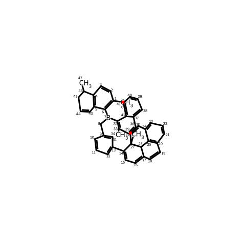 Cc1ccc2c(c1B(Cc1cccc(C3=CC=C4C=Cc5cccc6c5C4C3(C)C=C6)c1)c1c(C)ccc3ccccc13)C=CCC2C